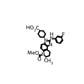 COC(=O)N1c2ccc3c(nc(Nc4cccc(F)c4)n3[C@H]3CC[C@H](C(=O)O)CC3)c2CC[C@@H]1C